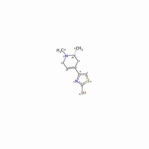 C[C@@H]1CC(c2csc(S)n2)=CCN1C